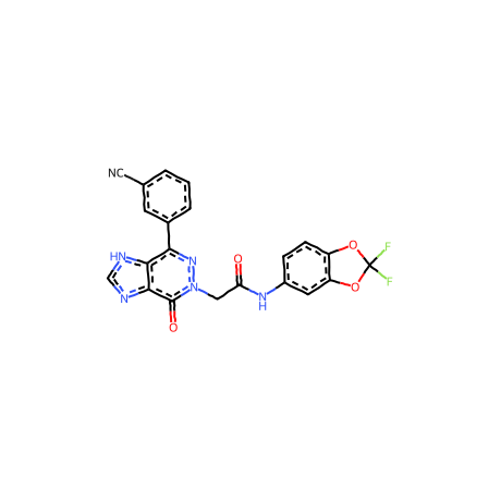 N#Cc1cccc(-c2nn(CC(=O)Nc3ccc4c(c3)OC(F)(F)O4)c(=O)c3nc[nH]c23)c1